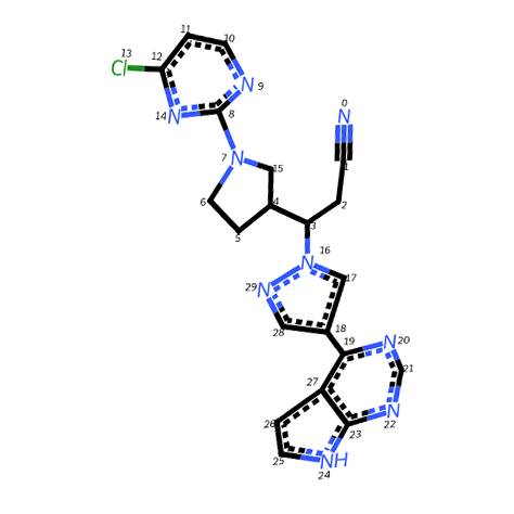 N#CCC(C1CCN(c2nccc(Cl)n2)C1)n1cc(-c2ncnc3[nH]ccc23)cn1